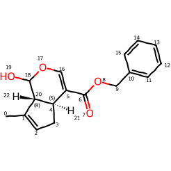 CC1=CC[C@@H]2C(C(=O)OCc3ccccc3)=COC(O)[C@@H]12